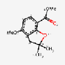 COC(=O)c1ccc(OC)c2c1OC(C)(C)C2